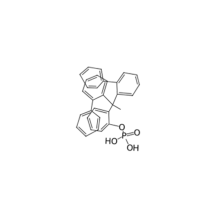 CC(c1ccccc1OP(=O)(O)O)(c1ccccc1-c1ccccc1)c1ccccc1-c1ccccc1